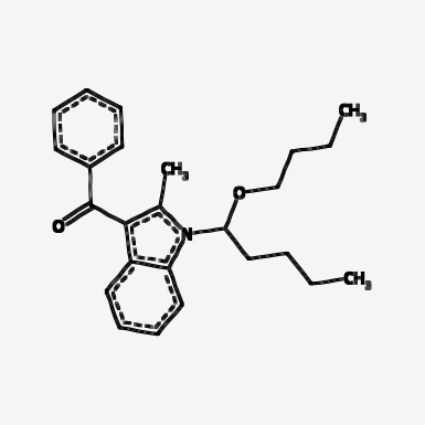 CCCCOC(CCCC)n1c(C)c(C(=O)c2ccccc2)c2ccccc21